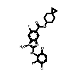 Cn1c(Nc2c(Cl)ccc(Cl)c2F)nc2cc(C(=O)NC3CCC4(CC3)CC4)c(F)cc21